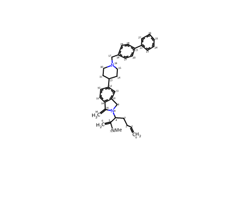 C=CCCC(C(=C)NC)N1Cc2cc(C3CCN(Cc4ccc(-c5ccccc5)cc4)CC3)ccc2C1=C